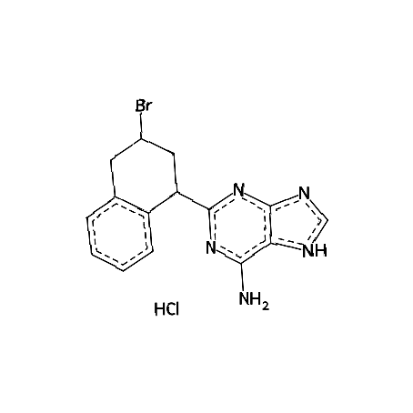 Cl.Nc1nc(C2CC(Br)Cc3ccccc32)nc2nc[nH]c12